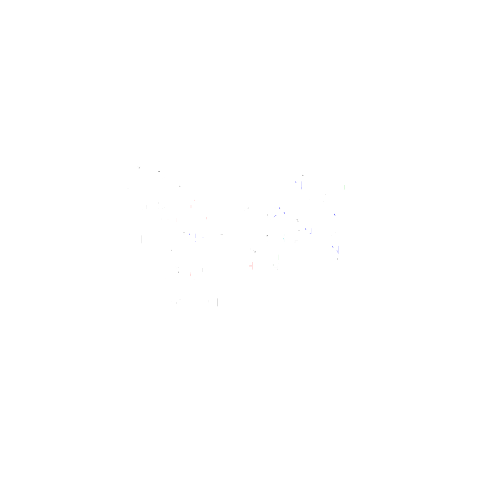 CC(C)OC(=O)[C@H](C)NP(=O)(OCC1O[C@@H](n2cnc3c(Cl)nc(N)nc32)[C@@](F)(Cl)C1O)Oc1ccccc1